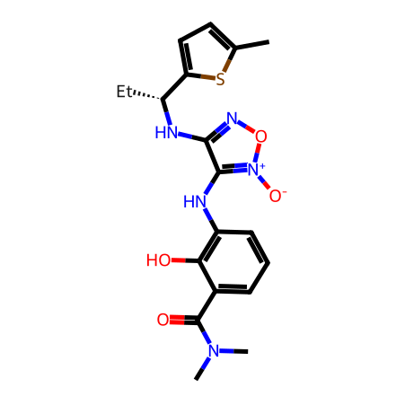 CC[C@@H](Nc1no[n+]([O-])c1Nc1cccc(C(=O)N(C)C)c1O)c1ccc(C)s1